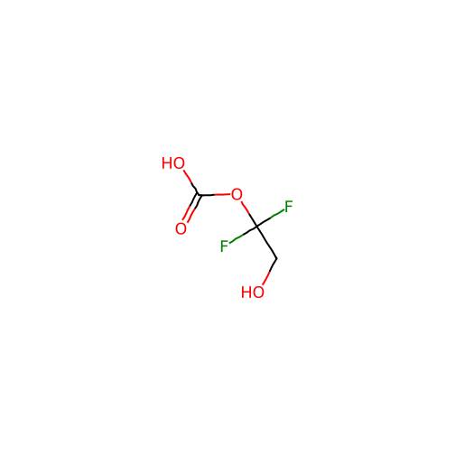 O=C(O)OC(F)(F)CO